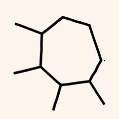 CC1[CH]CCC(C)C(C)C1C